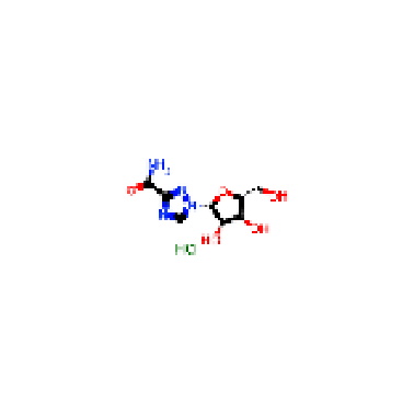 Cl.NC(=O)c1ncn([C@@H]2O[C@H](CO)[C@@H](O)[C@H]2O)n1